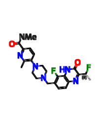 CNC(=O)c1ccc(N2CCN(Cc3ccc4nc([C@@H](C)F)c(=O)[nH]c4c3F)CC2)c(C)n1